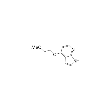 COCCOc1ccnc2[nH]ccc12